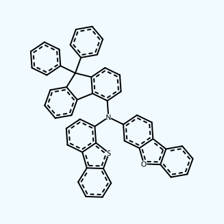 c1ccc(C2(c3ccccc3)c3ccccc3-c3c(N(c4ccc5c(c4)oc4ccccc45)c4cccc5c4sc4ccccc45)cccc32)cc1